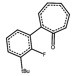 CC(C)(C)c1cccc(-c2cccccc2=O)c1F